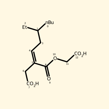 CCCCC(CC)CC=C(CC(=O)O)C(=O)OCC(=O)O